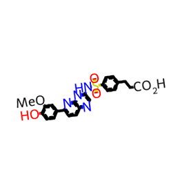 COc1cc(-c2ccc3ncc(NS(=O)(=O)c4ccc(CCC(=O)O)cc4)nc3n2)ccc1O